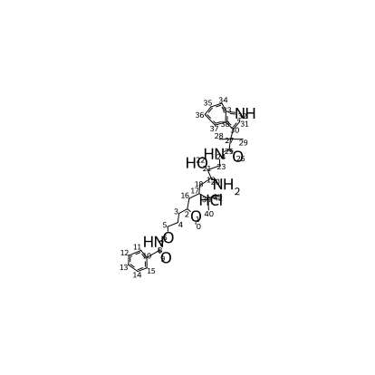 COC(CCCONC(=O)c1ccccc1)CC(CC(N)C(O)CNC(=O)C(C)(C)c1c[nH]c2ccccc12)C(C)C.Cl